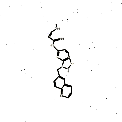 CN/C=C\C(=N)Nc1ccc2c(n1)N(Cc1ccc3ncccc3c1)NN2